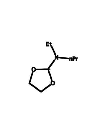 CCCN(CC)[C]1OCCO1